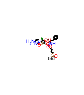 C[C@@H](CCc1ccccc1)NP(=O)(OCCCCSC(=O)C(C)(C)C)OC[C@H]1S[C@@H](n2ccc(N)nc2=O)[C@@H](F)[C@@H]1O